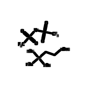 CCCCCCCCCCCC[P+](CCCC)(CCCC)CCCC.O=S(=O)([N-]S(=O)(=O)C(F)(F)F)C(F)(F)F